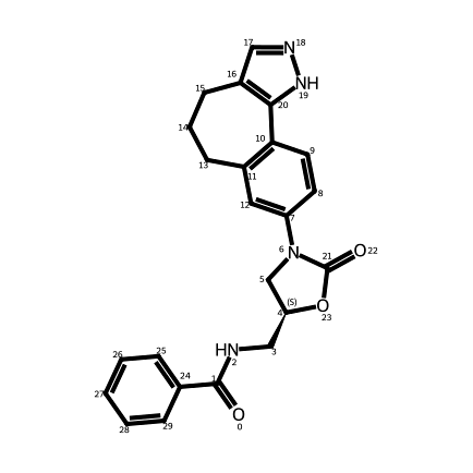 O=C(NC[C@H]1CN(c2ccc3c(c2)CCCc2cn[nH]c2-3)C(=O)O1)c1ccccc1